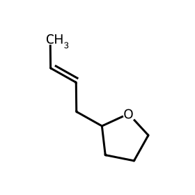 CC=CCC1CCCO1